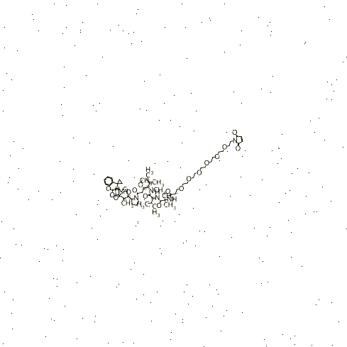 CC[C@H](C)[C@@H]([C@@H](CC(=O)N1CCC[C@H]1[C@H](OC)[C@@H](C)C(=O)N[C@@H](C(=O)O)C1(c2ccccc2)CC1)OC)N(C)C(=O)[C@@H](NC(=O)C(C)(C)NC(=O)CCOCCOCCOCCOCCOCCOCCN1C(=O)C=CC1=O)C(C)C